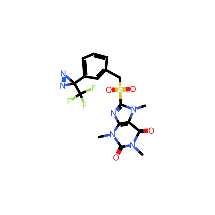 Cn1c(=O)c2c(nc(S(=O)(=O)Cc3cccc(C4(C(F)(F)F)N=N4)c3)n2C)n(C)c1=O